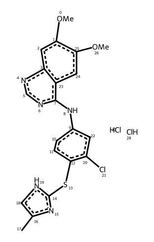 COc1cc2ncnc(Nc3ccc(Sc4nc(C)c[nH]4)c(Cl)c3)c2cc1OC.Cl.Cl